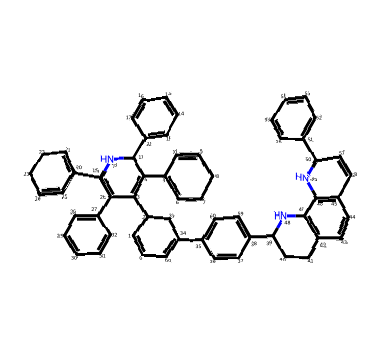 C1=CC(C2=C(C3=CCCC=C3)C(c3ccccc3)NC(C3=CCCC=C3)=C2c2ccccc2)CC(c2ccc(C3CCc4ccc5c(c4N3)NC(c3ccccc3)C=C5)cc2)=C1